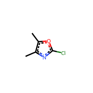 Cc1nc(Cl)oc1C